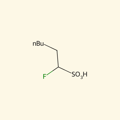 CCCCCC(F)S(=O)(=O)O